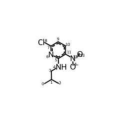 CC(C)CNc1nc(Cl)ccc1[N+](=O)[O-]